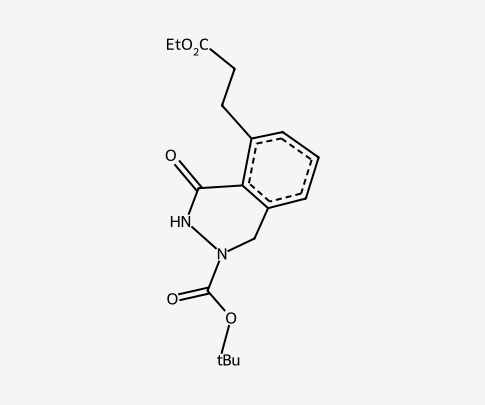 CCOC(=O)CCc1cccc2c1C(=O)NN(C(=O)OC(C)(C)C)C2